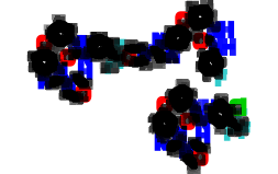 O=C(Nc1cccc(F)c1)Nc1cccc(Oc2ccc3ncc(N4CCOCC4)nc3c2)c1.O=C(Nc1cccc(Oc2ccc3ncc(N4CCOCC4)nc3c2)c1)Nc1ccc(Cl)c(C(F)(F)F)c1.O=C(Nc1cccc(Oc2ccc3ncc(N4CCOCC4)nc3c2)c1)Nc1cccc(C(F)(F)F)c1